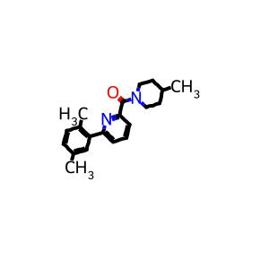 Cc1ccc(C)c(-c2cccc(C(=O)N3CCC(C)CC3)n2)c1